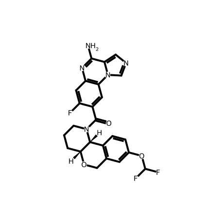 Nc1nc2cc(F)c(C(=O)N3CCC[C@H]4OCc5cc(OC(F)F)ccc5[C@H]43)cc2n2cncc12